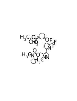 CC(C)OC(=O)[C@H]1CCC[C@H](Oc2ccc(-c3cnn(C)c3COC(=O)N(C)C3CCCC3)nc2C(F)(F)F)C1